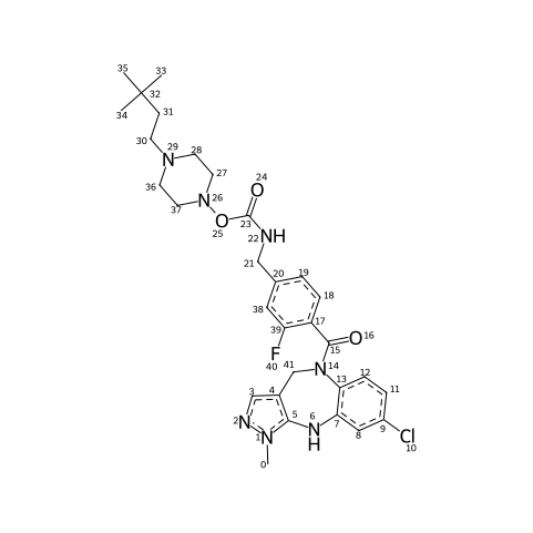 Cn1ncc2c1Nc1cc(Cl)ccc1N(C(=O)c1ccc(CNC(=O)ON3CCN(CCC(C)(C)C)CC3)cc1F)C2